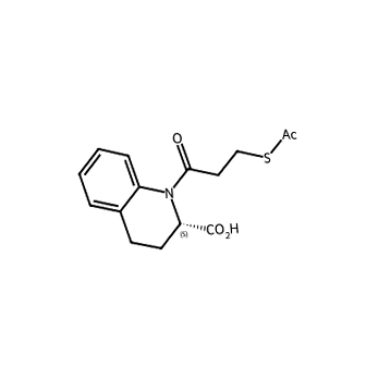 CC(=O)SCCC(=O)N1c2ccccc2CC[C@H]1C(=O)O